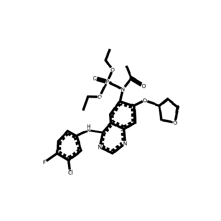 CCOP(=O)(OCC)N(C(C)=O)c1cc2c(Nc3ccc(F)c(Cl)c3)ncnc2cc1OC1CCOC1